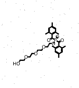 Cc1cc(C)c(C(=O)P(=O)(OCCOCCOCCOCCO)C(=O)c2c(C)cc(C)cc2C)c(C)c1